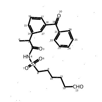 CC(C(=O)NS(=O)(=O)CCCCCC=O)c1cccc(C(=O)c2ccccc2)c1